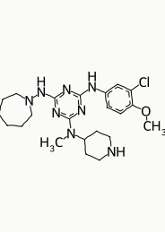 COc1ccc(Nc2nc(NN3CCCCCC3)nc(N(C)C3CCNCC3)n2)cc1Cl